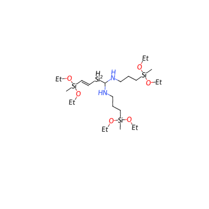 CCO[Si](C)(C=C[SiH2]C(NCCC[Si](C)(OCC)OCC)NCCC[Si](C)(OCC)OCC)OCC